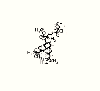 CCC(C)(C)C(=O)OCC[C@@](N)(Cc1ccc(OC(=O)CC(C)(C)C)c(OC(=O)CC(C)(C)C)c1)C(=O)OC